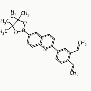 C=Cc1ccc(-c2ccc3cc(B4OC(C)(C)C(C)(C)O4)ccc3n2)cc1C=C